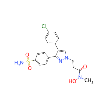 CN(O)C(=O)C=Cn1cc(-c2ccc(Cl)cc2)c(-c2ccc(S(N)(=O)=O)cc2)n1